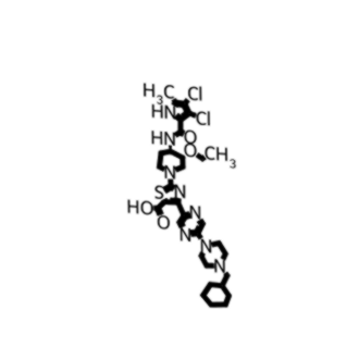 CCO[C@H]1CN(c2nc(-c3cnc(N4CCN(CC5CCCCC5)CC4)cn3)c(C(=O)O)s2)CC[C@H]1NC(=O)c1[nH]c(C)c(Cl)c1Cl